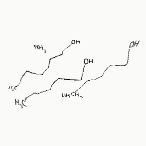 CCCCCO.CCCCCO.CCCCCO.N.[LiH]